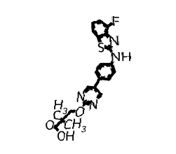 CC(C)(COc1ncc(-c2ccc(Nc3nc4c(F)cccc4s3)cc2)cn1)C(=O)O